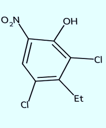 CCc1c(Cl)cc([N+](=O)[O-])c(O)c1Cl